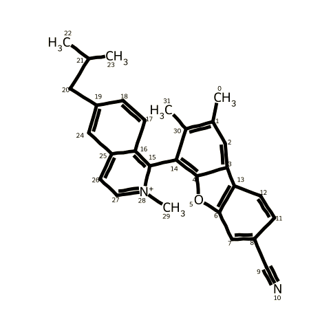 Cc1cc2c(oc3cc(C#N)ccc32)c(-c2c3ccc(CC(C)C)cc3cc[n+]2C)c1C